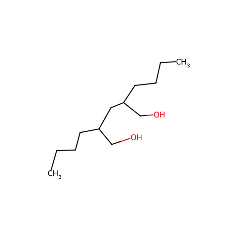 CCCCC(CO)CC(CO)CCCC